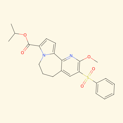 COc1nc2c(cc1S(=O)(=O)c1ccccc1)CCCn1c(C(=O)OC(C)C)ccc1-2